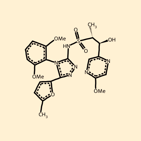 COc1cnc([C@H](O)[C@@H](C)S(=O)(=O)Nc2nnc(-c3ccc(C)o3)n2-c2c(OC)cccc2OC)cn1